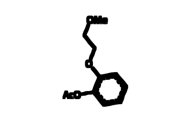 COCCOc1ccccc1OC(C)=O